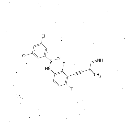 C=C(C#Cc1c(F)ccc(N[S+]([O-])c2cc(Cl)cc(Cl)c2)c1F)C=N